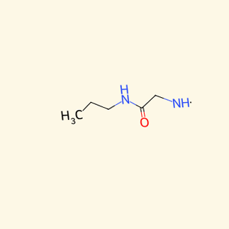 CCCNC(=O)C[NH]